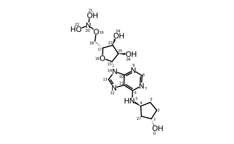 O[C@H]1CC[C@H](Nc2ncnc3c2ncn3[C@@H]2O[C@H](CON(O)O)[C@@H](O)[C@H]2O)C1